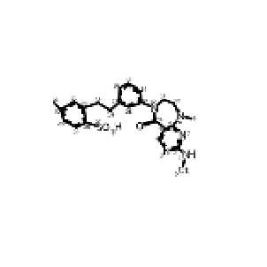 CCNc1ncc2c(n1)N(C)CCN(c1cccc(CCc3cc(C)ccc3S(=O)(=O)O)c1)C2=O